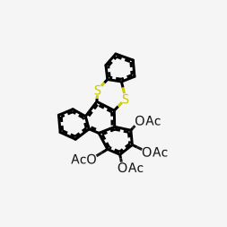 CC(=O)Oc1c(OC(C)=O)c(OC(C)=O)c2c(c1OC(C)=O)c1c(c3ccccc32)Sc2ccccc2S1